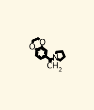 C=C(c1ccc2c(c1)OCCO2)N1CCCC1